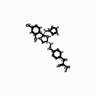 CNC(=O)Nc1ccc(OC[C@@H]2CO[C@@](Cn3ccnc3)(c3ccc(Cl)cc3Cl)O2)cc1